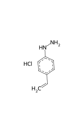 C=Cc1ccc(NN)cc1.Cl